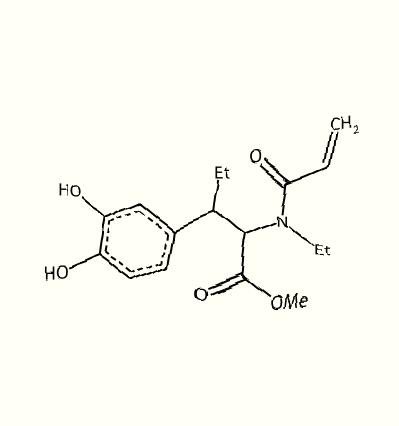 C=CC(=O)N(CC)C(C(=O)OC)C(CC)c1ccc(O)c(O)c1